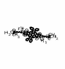 C=C(C)C(=O)OCCCCNC(=O)C(CC(F)(F)F)N1C(=O)c2cc(Oc3ccccc3)c3c4c(Oc5ccccc5)cc5c6c(cc(Oc7ccccc7)c(c7c(Oc8ccccc8)cc(c2c37)C1=O)c64)C(=O)N(C(CC(F)(F)F)C(=O)NCCCCOC(=O)C(=C)C)C5=O